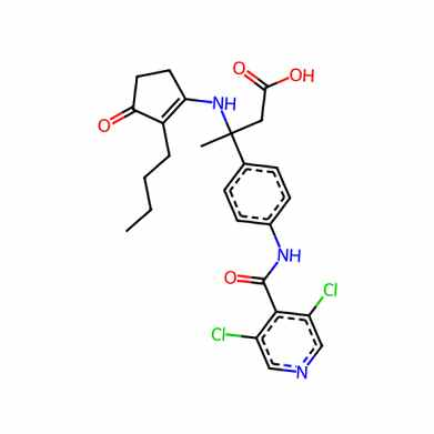 CCCCC1=C(NC(C)(CC(=O)O)c2ccc(NC(=O)c3c(Cl)cncc3Cl)cc2)CCC1=O